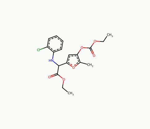 CCOC(=O)Oc1cc(C(Nc2ccccc2Cl)C(=O)OCC)oc1C